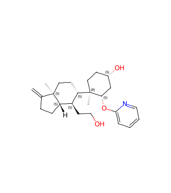 C=C1CC[C@H]2[C@H](CCO)[C@@H]([C@@]3(C)CC[C@H](O)C[C@@H]3Oc3ccccn3)CC[C@]12C